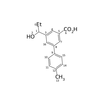 CCC(O)c1cc(C(=O)O)cc(-c2ccc(C)cc2)c1